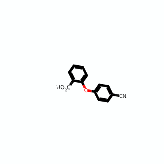 N#Cc1ccc(Oc2ccccc2C(=O)O)cc1